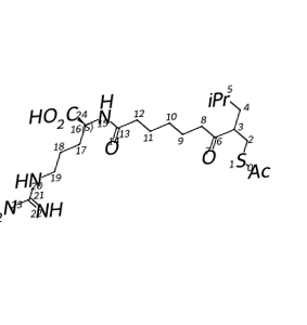 CC(=O)SCC(CC(C)C)C(=O)CCCCCC(=O)N[C@@H](CCCNC(=N)N)C(=O)O